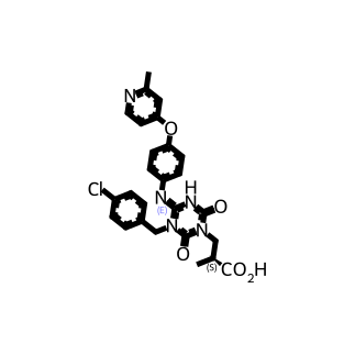 Cc1cc(Oc2ccc(/N=c3\[nH]c(=O)n(C[C@H](C)C(=O)O)c(=O)n3Cc3ccc(Cl)cc3)cc2)ccn1